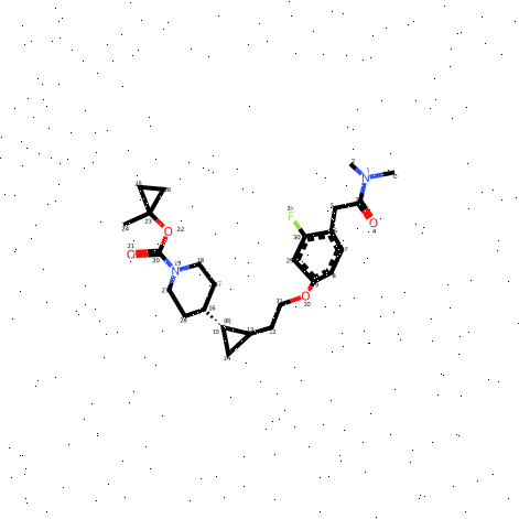 CN(C)C(=O)Cc1ccc(OCCC2C[C@@H]2C2CCN(C(=O)OC3(C)CC3)CC2)cc1F